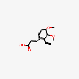 C=Cc1c(/C=C/C(=O)O)ccc(OC)c1OC